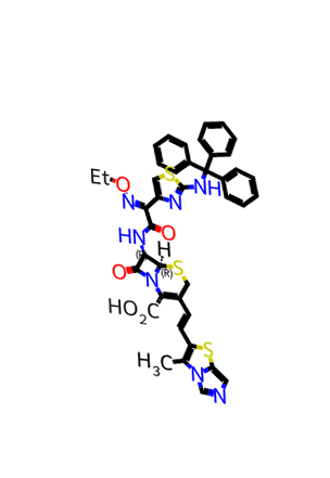 CCON=C(C(=O)N[C@@H]1C(=O)N2C(C(=O)O)=C(C=Cc3sc4cncn4c3C)CS[C@H]12)c1csc(NC(c2ccccc2)(c2ccccc2)c2ccccc2)n1